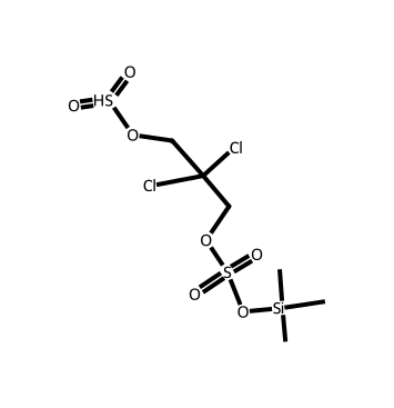 C[Si](C)(C)OS(=O)(=O)OCC(Cl)(Cl)CO[SH](=O)=O